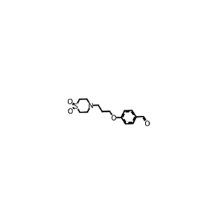 O=Cc1ccc(OCCCN2CCS(=O)(=O)CC2)cc1